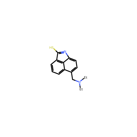 CCN(CC)Cc1ccc2c3c(cccc13)C(S)=N2